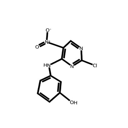 O=[N+]([O-])c1cnc(Cl)nc1Nc1cccc(O)c1